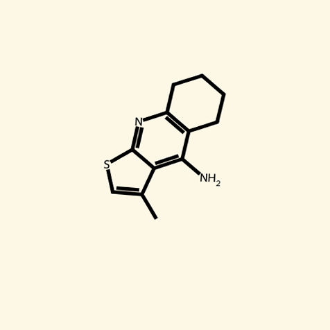 Cc1csc2nc3c(c(N)c12)CCCC3